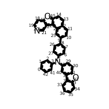 c1ccc(N(c2ccc(-c3ccc4ccc5oc6ccncc6c5c4c3)cc2)c2ccc3oc4ccccc4c3c2)cc1